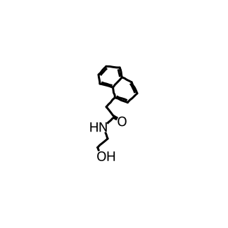 O=C(Cc1cccc2ccccc12)NCCO